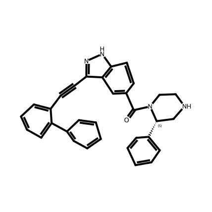 O=C(c1ccc2[nH]nc(C#Cc3ccccc3-c3ccccc3)c2c1)N1CCNC[C@@H]1c1ccccc1